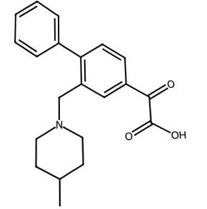 CC1CCN(Cc2cc(C(=O)C(=O)O)ccc2-c2ccccc2)CC1